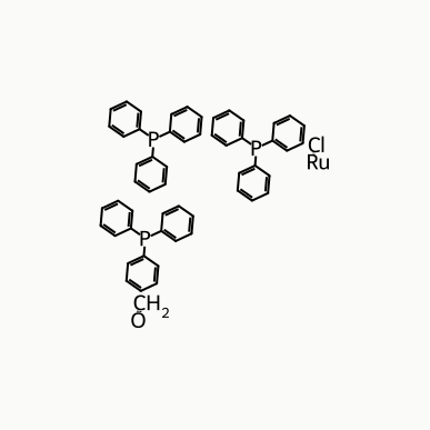 C=O.[Cl][Ru].c1ccc(P(c2ccccc2)c2ccccc2)cc1.c1ccc(P(c2ccccc2)c2ccccc2)cc1.c1ccc(P(c2ccccc2)c2ccccc2)cc1